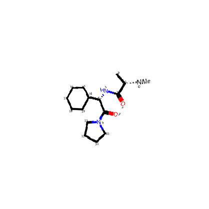 CN[C@@H](C)C(=O)N[C@H](C(=O)N1CCCC1)C1CCCCC1